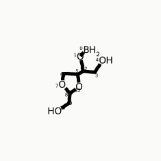 BOC(CO)C1COC(CO)O1